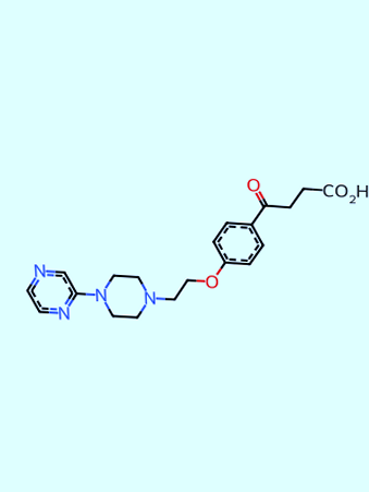 O=C(O)CCC(=O)c1ccc(OCCN2CCN(c3cnccn3)CC2)cc1